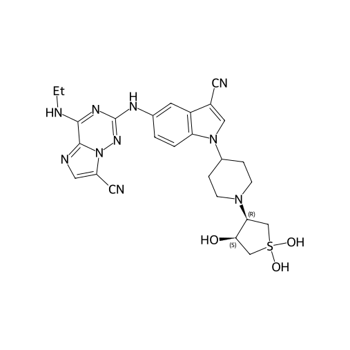 CCNc1nc(Nc2ccc3c(c2)c(C#N)cn3C2CCN([C@H]3CS(O)(O)C[C@H]3O)CC2)nn2c(C#N)cnc12